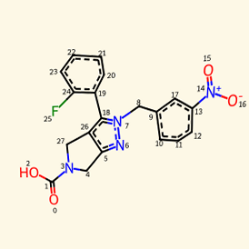 O=C(O)N1Cc2nn(Cc3cccc([N+](=O)[O-])c3)c(-c3ccccc3F)c2C1